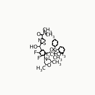 C[C@@H]1CN(c2c(CO[Si](c3ccccc3)(c3ccccc3)C(C)(C)C)cc(C(O)c3nc(C(=O)N(C)C)cs3)c(F)c2F)C[C@H](C)O1